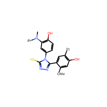 CCc1cc(-c2nnc(S)n2-c2ccc(O)c(N(C)C(C)C)c2)c(OC)cc1O